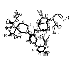 CC(C)(C)OC(=O)NC1(C(O)C(F)F)CCCN(c2cnc(-c3ccc(F)cc3C(F)F)cc2Cn2cnc3c(N(C(=O)O)C(=O)OC(C)(C)C)ncnc32)C1